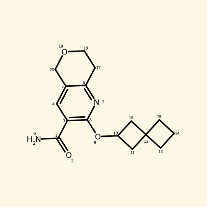 NC(=O)c1cc2c(nc1OC1CC3(CCC3)C1)CCOC2